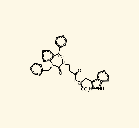 O=C(CC[C@@H]1O[C@H](c2ccccc2)c2ccccc2N(Cc2ccccc2)C1=O)N[C@@H](Cc1c[nH]c2ccccc12)C(=O)O